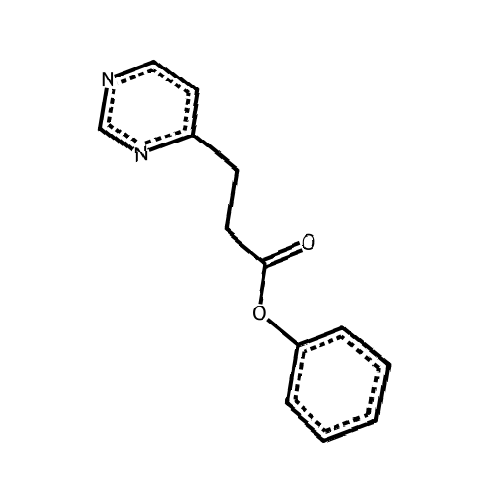 O=C(CCc1ccncn1)Oc1ccccc1